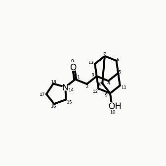 O=C(CC12CC3CC(CC(O)(C3)C1)C2)N1CCCC1